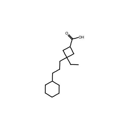 CCC1(CCCC2CCCCC2)CC(C(=O)O)C1